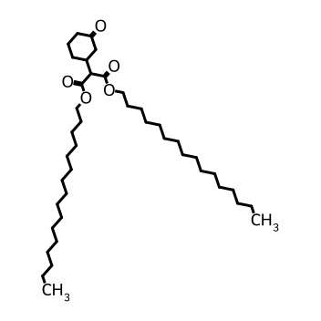 CCCCCCCCCCCCCCCCOC(=O)C(C(=O)OCCCCCCCCCCCCCCCC)C1CCCC(=O)C1